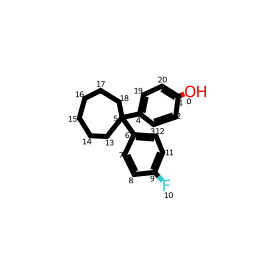 Oc1ccc(C2(c3ccc(F)cc3)CCCCCC2)cc1